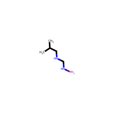 CC(C)CNCNP